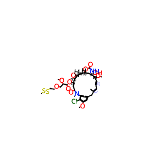 COc1cc2cc(c1Cl)N(C)C(=O)C[C@H](OC(=O)C(COCCSSC)OC)[C@]1(C)O[C@H]1[C@H](C)[C@@H]1C[C@@](O)(NC(=O)O1)[C@H](OC)/C=C/C=C(\C)C2